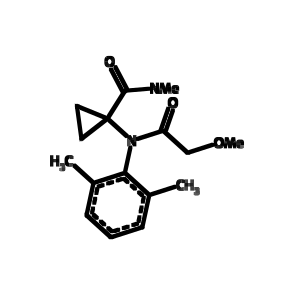 CNC(=O)C1(N(C(=O)COC)c2c(C)cccc2C)CC1